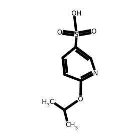 CC(C)Oc1ccc(S(=O)(=O)O)cn1